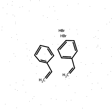 Br.Br.C=Cc1ccccc1.C=Cc1ccccc1